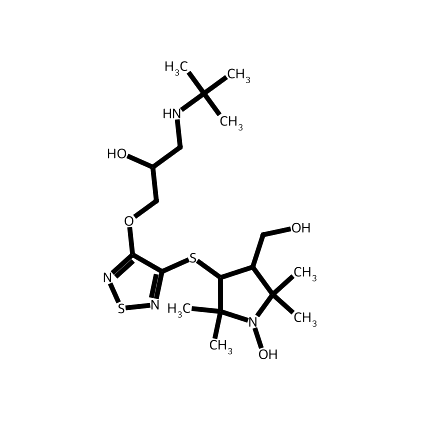 CC(C)(C)NCC(O)COc1nsnc1SC1C(CO)C(C)(C)N(O)C1(C)C